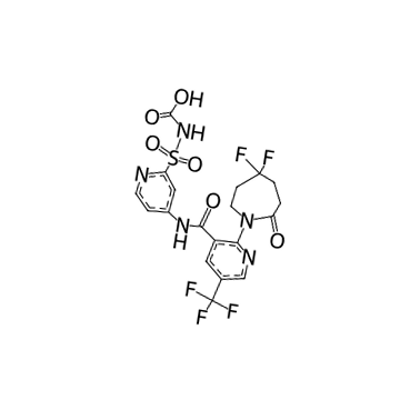 O=C(O)NS(=O)(=O)c1cc(NC(=O)c2cc(C(F)(F)F)cnc2N2CCC(F)(F)CCC2=O)ccn1